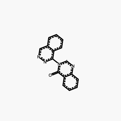 O=c1c2ccccc2n[c]n1-c1nncc2ccccc12